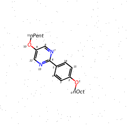 CCCCCCCCOc1ccc(-c2ncc(OCCCCC)cn2)cc1